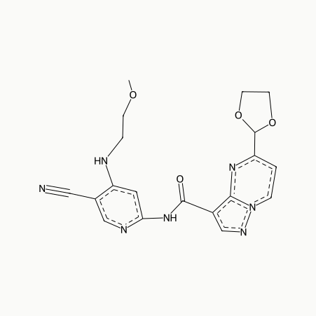 COCCNc1cc(NC(=O)c2cnn3ccc(C4OCCO4)nc23)ncc1C#N